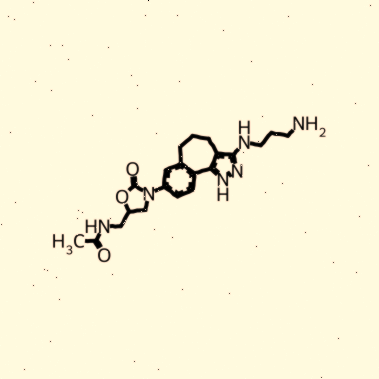 CC(=O)NCC1CN(c2ccc3c(c2)CCCc2c(NCCCN)n[nH]c2-3)C(=O)O1